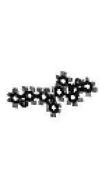 c1ccc(-n2c3oc4ccccc4c3c3cccc(-c4cccc(-n5c6ccccc6c6cc(-c7ccc8c(c7)oc7ccccc78)ccc65)c4)c32)cc1